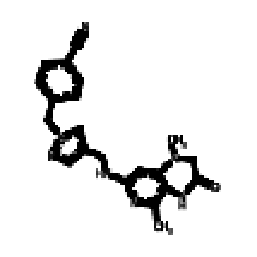 Cc1nc(NCc2cnn(Cc3ccc(C#N)cc3)c2)cc2c1NC(=O)CN2C